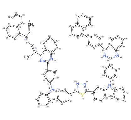 C=C/C(=C\C=C(/C)c1nc(-c2ccc(-n3c4ccccc4c4ccc(-c5nnc(-c6ccc7c8ccccc8n(-c8ccc(-c9nc(-c%10ccc(-c%11cccc%12ccccc%11%12)cc%10)c%10ccccc%10n9)cc8)c7c6)s5)cc43)cc2)nc2ccccc12)c1cccc2ccccc12